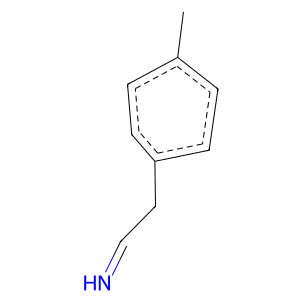 Cc1ccc(CC=N)cc1